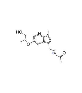 CC(=O)/C=C/Cc1c[nH]c2ncc(OC(C)CO)cc12